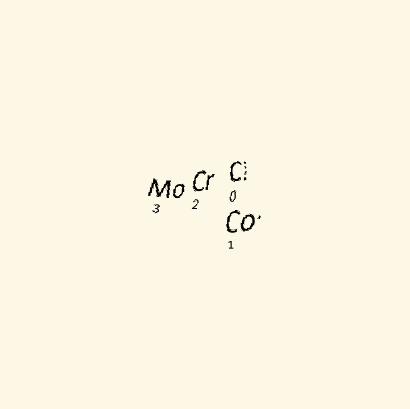 [C].[Co].[Cr].[Mo]